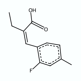 CCC(=Cc1ccc(C)cc1F)C(=O)O